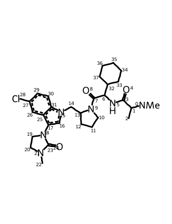 CNC(C)C(=O)NC(C(=O)N1CCCC1Cn1cc(N2CCN(C)C2=O)c2cc(Cl)ccc21)C1CCCCC1